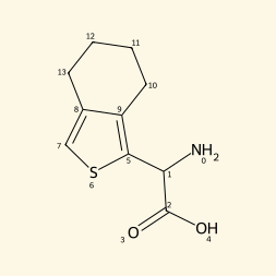 NC(C(=O)O)c1scc2c1CCCC2